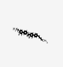 CCCCCc1ccc(-c2ccc(C(=O)Oc3ccc(-c4ccc(OCC)c(F)c4F)cc3)c(F)c2F)cc1